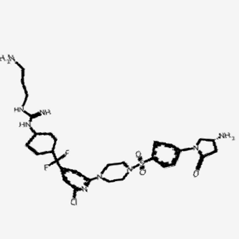 N=C(NCCCN)NC1CCC(C(F)(F)c2cc(Cl)nc(N3CCN(S(=O)(=O)c4ccc(N5C[C@H](N)CC5=O)cc4)CC3)c2)CC1